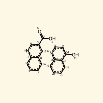 O=C(O)c1cnc2ccccc2c1.Oc1ccnc2ccccc12